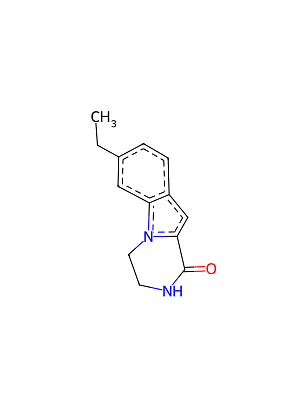 CCc1ccc2cc3n(c2c1)CCNC3=O